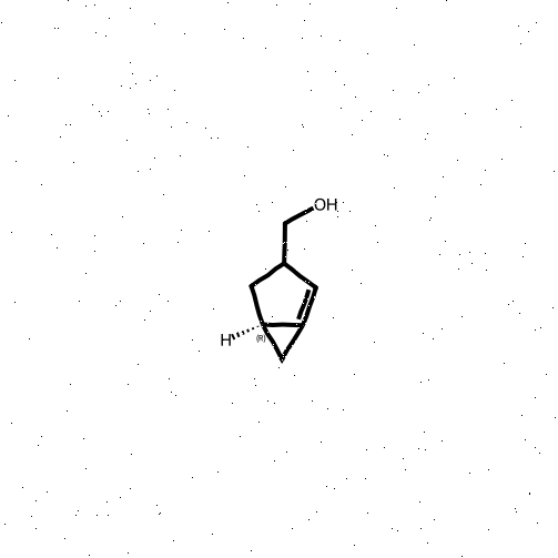 OCC1C=C2C[C@H]2C1